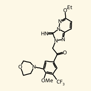 CCOc1ccc2nn(CC(=O)c3cc(N4CCOCC4)c(OC)c(C(F)(F)F)c3)c(=N)n2n1